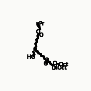 CCCC#CCOC(=O)CCCCCCCN(CCO)CCCCCCOC(=O)CCC(OCCCCCCCC)OCCCCCCCC